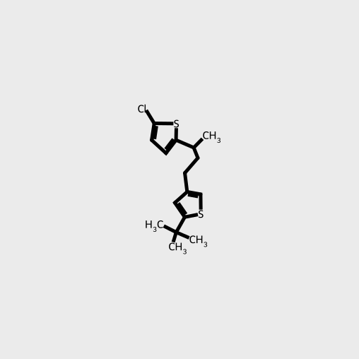 CC(CCc1csc(C(C)(C)C)c1)c1ccc(Cl)s1